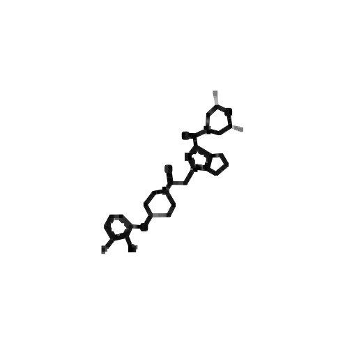 C[C@@H]1CN(C(=O)c2nn(CC(=O)N3CCC(Oc4cccc(F)c4Br)CC3)c3c2CCC3)C[C@H](C)O1